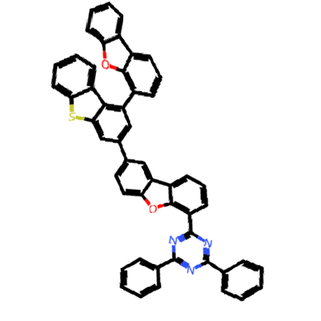 c1ccc(-c2nc(-c3ccccc3)nc(-c3cccc4c3oc3ccc(-c5cc(-c6cccc7c6oc6ccccc67)c6c(c5)sc5ccccc56)cc34)n2)cc1